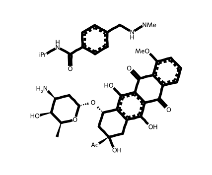 CNNCc1ccc(C(=O)NC(C)C)cc1.COc1cccc2c1C(=O)c1c(O)c3c(c(O)c1C2=O)C[C@@](O)(C(C)=O)C[C@@H]3O[C@H]1C[C@H](N)[C@H](O)[C@H](C)O1